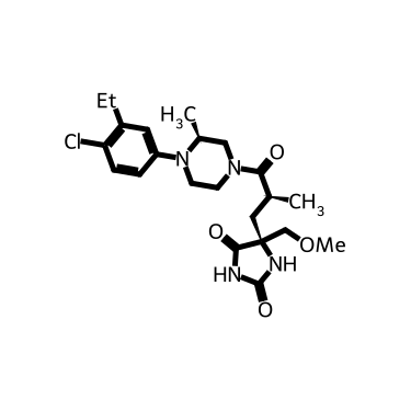 CCc1cc(N2CCN(C(=O)[C@@H](C)C[C@@]3(COC)NC(=O)NC3=O)C[C@@H]2C)ccc1Cl